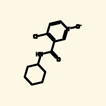 O=C(NC1CCCCC1)c1c[n+]([O-])ccc1Cl